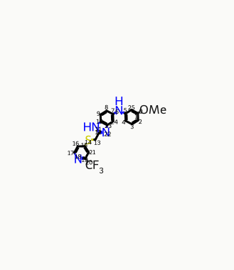 COc1cccc(Nc2ccc3[nH]c(CSc4ccnc(C(F)(F)F)c4)nc3c2)c1